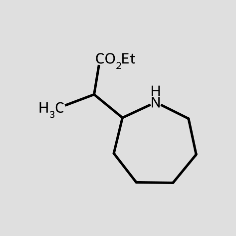 CCOC(=O)C(C)C1CCCCCN1